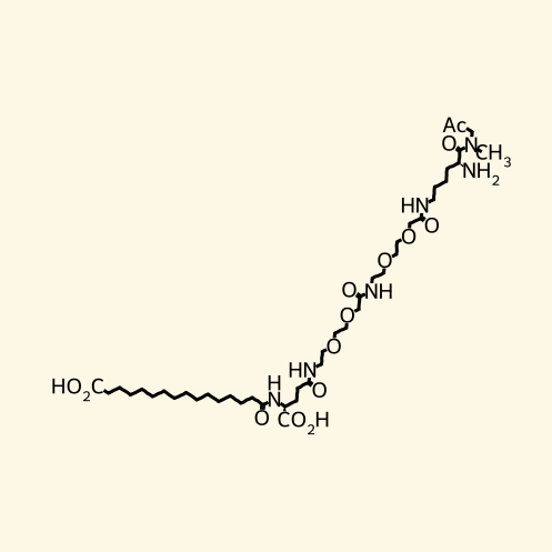 CC(=O)CN(C)C(=O)[C@H](N)CCCCNC(=O)COCCOCCNC(=O)COCCOCCNC(=O)CC[C@H](NC(=O)CCCCCCCCCCCCCCC(=O)O)C(=O)O